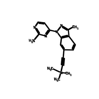 Cc1nn(-c2ccnc(N)n2)c2cc(C#C[Si](C)(C)C)ccc12